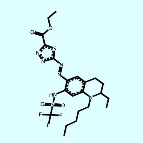 CCCCCN1c2cc(NS(=O)(=O)C(F)(F)F)c(N=Nc3nnc(C(=O)OCC)s3)cc2CCC1CC